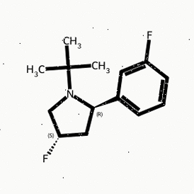 CC(C)(C)N1C[C@@H](F)C[C@@H]1c1cccc(F)c1